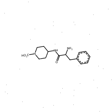 NC(Cc1ccccc1)C(=O)NC1CCN(C(=O)O)CC1